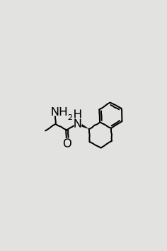 CC(N)C(=O)N[C@@H]1CCCc2ccccc21